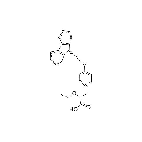 CCOC(Cc1ccc(OCC=C2c3ccccc3-c3ccccc32)cc1)C(=O)O